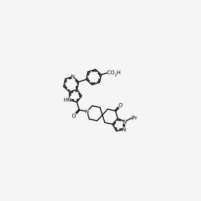 CC(C)n1ncc2c1C(=O)CC1(CCN(C(=O)c3cc4c(-c5ccc(C(=O)O)cc5)nccc4[nH]3)CC1)C2